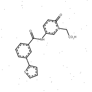 O=C(O)Cn1cc(NC(=O)c2cccc(-c3cccs3)c2)ccc1=O